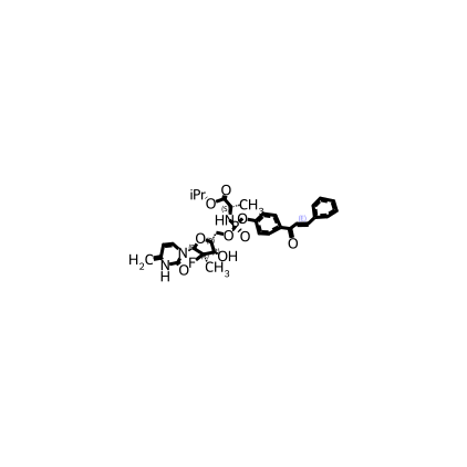 C=C1C=CN([C@@H]2O[C@H](COP(=O)(N[C@@H](C)C(=O)OC(C)C)Oc3ccc(C(=O)/C=C/c4ccccc4)cc3)[C@@H](O)[C@@]2(C)F)C(=O)N1